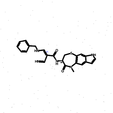 CN1C(=O)[C@@H](NC(=O)/C(C=N)=C/NCc2ccccc2)CSc2cc3[nH]ccc3cc21